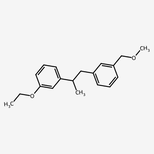 CCOc1cccc(C(C)Cc2cccc(COC)c2)c1